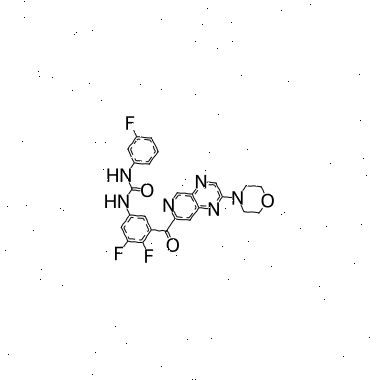 O=C(Nc1cccc(F)c1)Nc1cc(F)c(F)c(C(=O)c2cc3nc(N4CCOCC4)cnc3cn2)c1